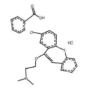 CN(C)CCOC1=Cc2ccccc2Sc2ccc(Cl)cc21.Cl.O=C(O)c1ccccc1